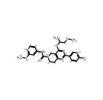 COCC(C)Oc1nc(-c2ccc(Cl)nc2)nc2c1CN(C(=O)Nc1ccnc(OC)c1)CC2